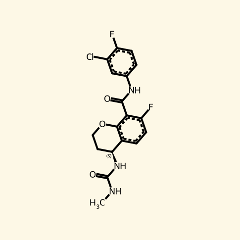 CNC(=O)N[C@H]1CCOc2c1ccc(F)c2C(=O)Nc1ccc(F)c(Cl)c1